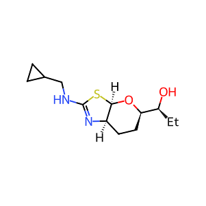 CC[C@H](O)[C@H]1CC[C@H]2N=C(NCC3CC3)S[C@H]2O1